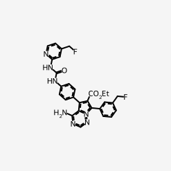 CCOC(=O)c1c(-c2ccc(NC(=O)Nc3cc(CF)ccn3)cc2)c2c(N)ncnn2c1-c1cccc(CF)c1